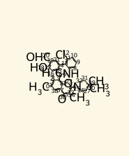 Cc1cc([C@@H](C)Nc2cccc(Cl)c2-c2ccc(O)c(C=O)c2)c2oc(N3CCC(C)(C)CC3)c(C)c(=O)c2c1